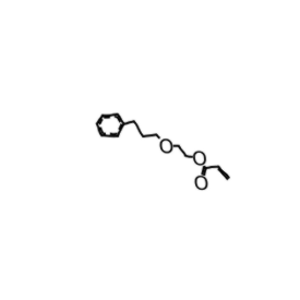 C=CC(=O)OCCOCCCc1ccccc1